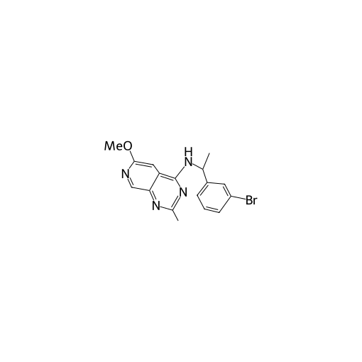 COc1cc2c(NC(C)c3cccc(Br)c3)nc(C)nc2cn1